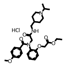 CCOC(=O)COc1ccccc1N(CC(=O)NCC1CCN(C(C)C)CC1)C(=O)c1ccc(OC)cc1.Cl